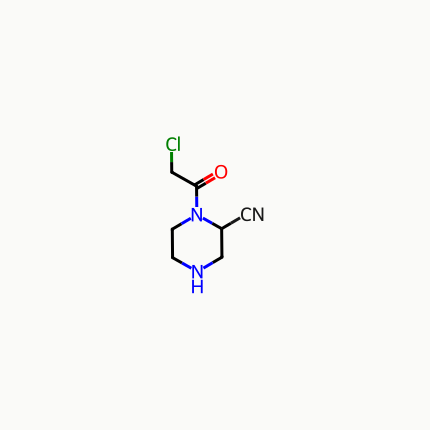 N#CC1CNCCN1C(=O)CCl